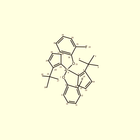 CC(C)(C)C1=[C]([Zr]([O]c2ccccc2F)([O]c2ccccc2F)[C]2=C(C(C)(C)C)C=CC2)CC=C1